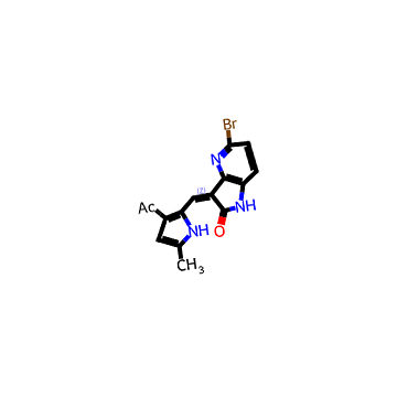 CC(=O)c1cc(C)[nH]c1/C=C1\C(=O)Nc2ccc(Br)nc21